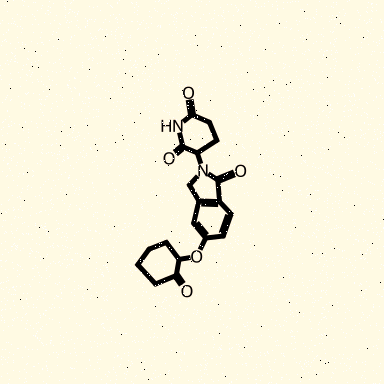 O=C1CCC(N2Cc3cc(OC4CCCCC4=O)ccc3C2=O)C(=O)N1